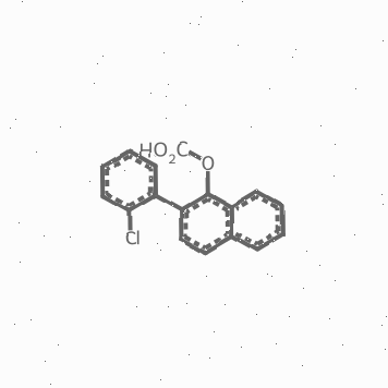 O=C(O)Oc1c(-c2ccccc2Cl)ccc2ccccc12